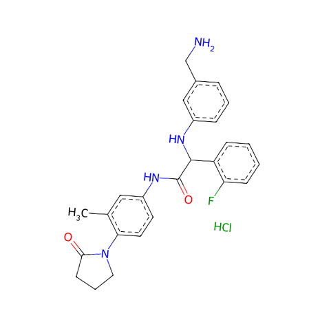 Cc1cc(NC(=O)C(Nc2cccc(CN)c2)c2ccccc2F)ccc1N1CCCC1=O.Cl